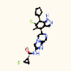 Cc1c(F)c(C2=CCCC2)c2[nH]ncc2c1-c1cn2cc(NC(=O)[C@@H]3C[C@@H]3F)nc2cn1